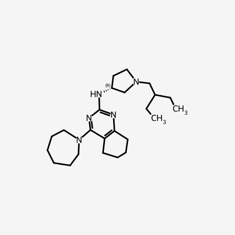 CCC(CC)CN1CC[C@@H](Nc2nc3c(c(N4CCCCCC4)n2)CCCC3)C1